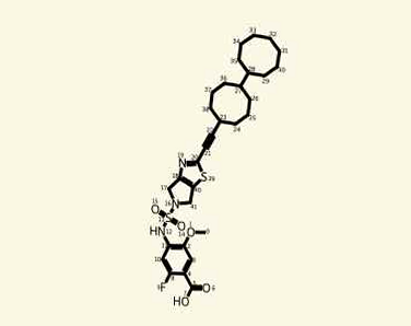 COc1cc(C(=O)O)c(F)cc1NS(=O)(=O)N1Cc2nc(C#CC3CCCC(C4CCCCCCC4)CCC3)sc2C1